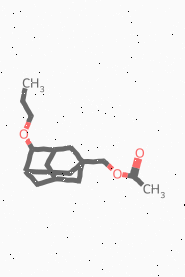 CCCOC1C2CC3CC1CC(COC(C)=O)(C3)C2